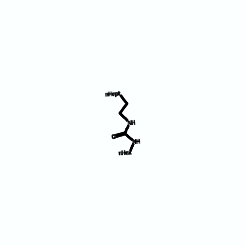 CCCCCCCCCNC(=O)NCCCCCC